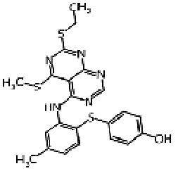 CCSc1nc(SC)c2c(Nc3cc(C)ccc3Sc3ccc(O)cc3)ncnc2n1